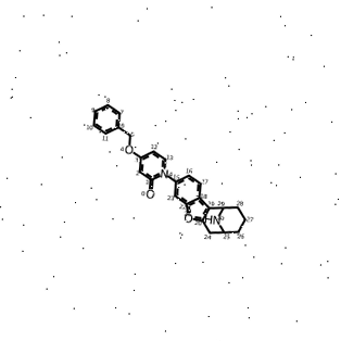 O=c1cc(OCc2ccccc2)ccn1-c1ccc2c3c(oc2c1)CC1CCCC3N1